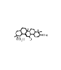 CC12CCC3CC[C@](C)(C(=O)O)CC3C1=CC(=O)C1C3CCC(O)C(C)(C)C3CCC12